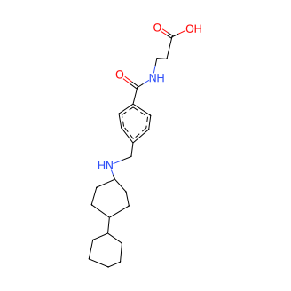 O=C(O)CCNC(=O)c1ccc(CNC2CCC(C3CCCCC3)CC2)cc1